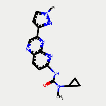 CC(C)n1ccc(-c2cnc3ccc(NC(=O)N(C)C4CC4)nc3n2)n1